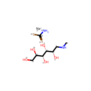 CNC[C@H](O)[C@@H](O)[C@H](O)[C@H](O)CO.NC(=S)[S-].[Na+]